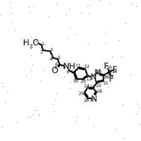 CCCCCCC(=O)NCc1ccc(-n2nc(C(F)(F)F)cc2-c2cccnc2)cc1